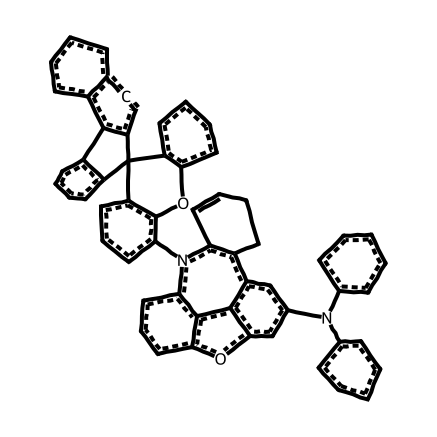 C1=Cc2c(c3cc(N(c4ccccc4)c4ccccc4)cc4oc5cccc(c5c43)n2-c2cccc3c2Oc2ccccc2C32c3ccccc3-c3c2ccc2ccccc32)CC1